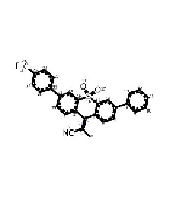 C/C(C#N)=C1\c2ccc(-c3ccccc3)cc2S(=O)(=O)c2cc(-c3ccc(C(F)(F)F)cc3)ccc21